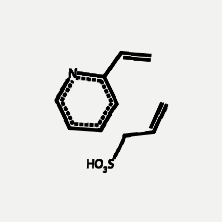 C=CCS(=O)(=O)O.C=Cc1ccccn1